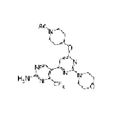 CC(=O)N1CCC(Oc2cc(-c3cnc(N)nc3C(F)(F)F)nc(N3CCOCC3)n2)CC1